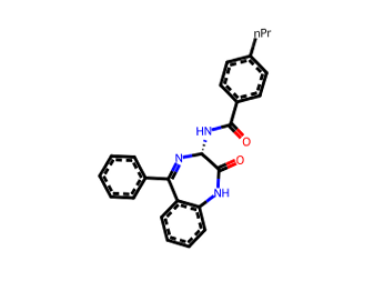 CCCc1ccc(C(=O)N[C@H]2N=C(c3ccccc3)c3ccccc3NC2=O)cc1